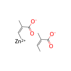 CC=C(C)C(=O)[O-].CC=C(C)C(=O)[O-].[Zn+2]